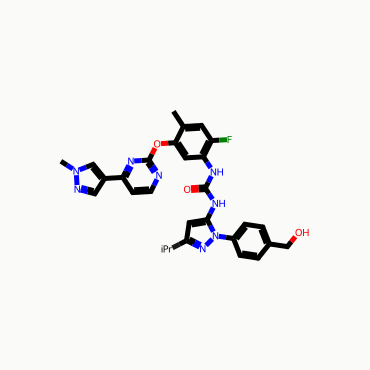 Cc1cc(F)c(NC(=O)Nc2cc(C(C)C)nn2-c2ccc(CO)cc2)cc1Oc1nccc(-c2cnn(C)c2)n1